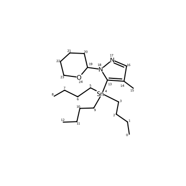 CCC[CH2][Sn]([CH2]CCC)([CH2]CCC)[c]1c(C)cnn1C1CCCCO1